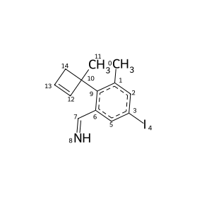 Cc1cc(I)cc(C=N)c1C1(C)C=CC1